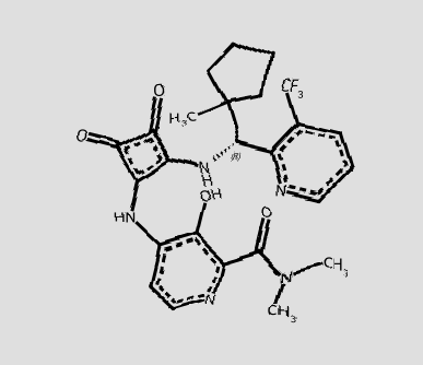 CN(C)C(=O)c1nccc(Nc2c(N[C@@H](c3ncccc3C(F)(F)F)C3(C)CCCC3)c(=O)c2=O)c1O